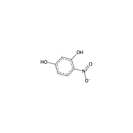 O=[N+]([O-])c1ccc(O)[c]c1O